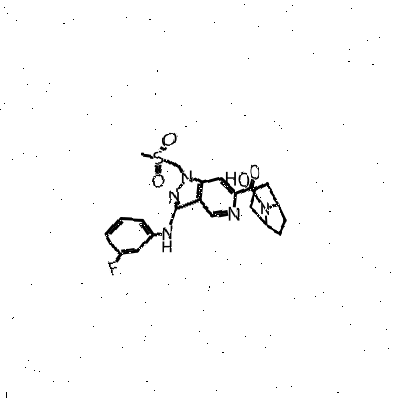 CS(=O)(=O)Cn1nc(Nc2cccc(F)c2)c2cnc(C(=O)N3C4CCC3CC(O)C4)cc21